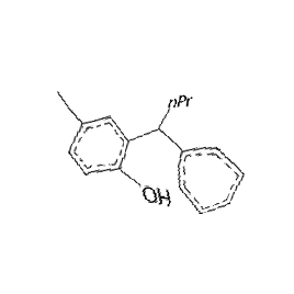 CCCC(c1ccccc1)c1cc(C)ccc1O